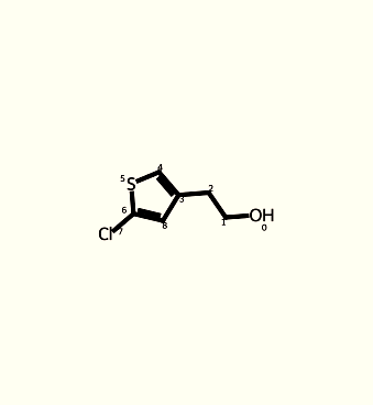 OCCc1csc(Cl)c1